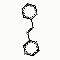 c1cnc(N=Nc2cnccn2)cn1